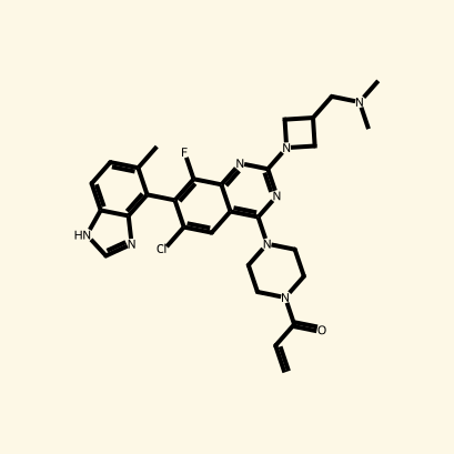 C=CC(=O)N1CCN(c2nc(N3CC(CN(C)C)C3)nc3c(F)c(-c4c(C)ccc5[nH]cnc45)c(Cl)cc23)CC1